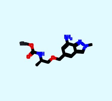 C[C@H](COCc1cc(N)c2nn(C)cc2c1)NC(=O)OC(C)(C)C